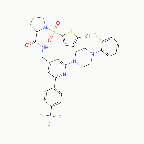 O=C(NCc1cc(-c2ccc(C(F)(F)F)cc2)nc(N2CCN(c3ccccc3F)CC2)c1)C1CCCN1S(=O)(=O)c1ccc(Cl)s1